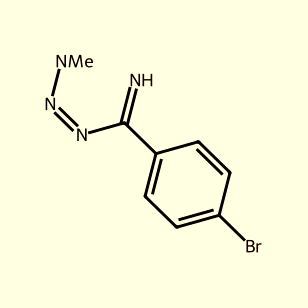 CN/N=N\C(=N)c1ccc(Br)cc1